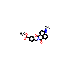 CNc1ccc2c3c(cccc13)C(=O)N(Cc1ccc(C(=O)OC)cc1)C2=O